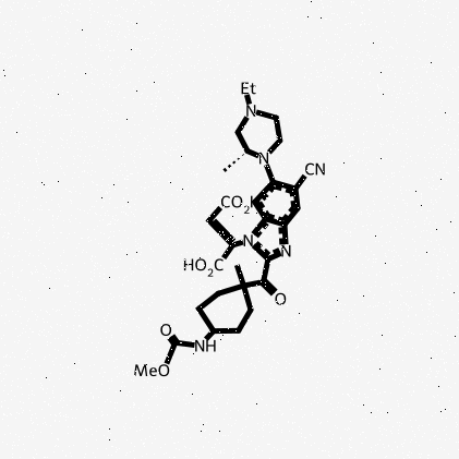 CCN1CCN(c2cc3c(cc2C#N)nc(C(=O)C2(C)CCC(NC(=O)OC)CC2)n3/C(=C\C(=O)O)C(=O)O)[C@H](C)C1